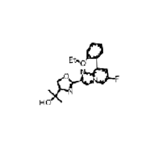 CCOc1ccccc1-c1cc(F)cn2cc(C3=NC(C(C)(C)O)CO3)nc12